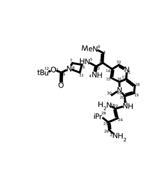 CN/C=C(\C(=N)NC1CN(C(=O)OC(C)(C)C)C1)C1=CC2C(=CC=C(N/C(N)=C/C(=C\N)C(C)C)N2C)N=C1